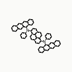 c1ccc(N(c2c3ccccc3cc3cc4ccccc4cc23)c2ccc3ccc4c(N(c5ccccc5)c5c6ccccc6cc6cc7ccccc7cc56)ccc5ccc2c3c54)cc1